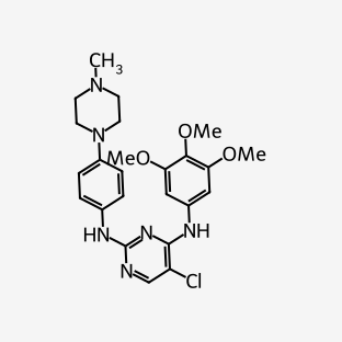 COc1cc(Nc2nc(Nc3ccc(N4CCN(C)CC4)cc3)ncc2Cl)cc(OC)c1OC